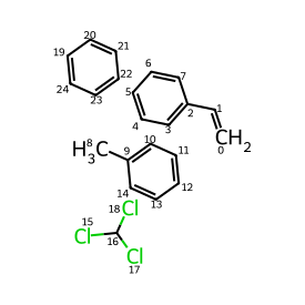 C=Cc1ccccc1.Cc1ccccc1.ClC(Cl)Cl.c1ccccc1